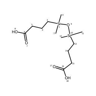 C[Si](C)(CCCC(=O)O)O[Si](C)(C)CCCC(=O)O